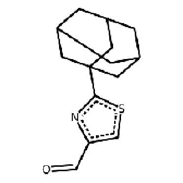 O=Cc1csc(C23CC4CC(CC(C4)C2)C3)n1